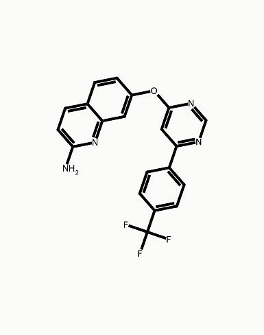 Nc1ccc2ccc(Oc3cc(-c4ccc(C(F)(F)F)cc4)ncn3)cc2n1